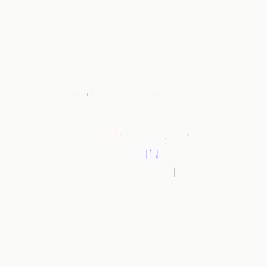 CCC(O)c1ccccc1NC